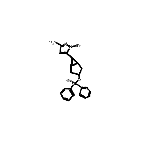 CC(C)n1nc(N)cc1C1C2CC(O[Si](c3ccccc3)(c3ccccc3)C(C)(C)C)CC21